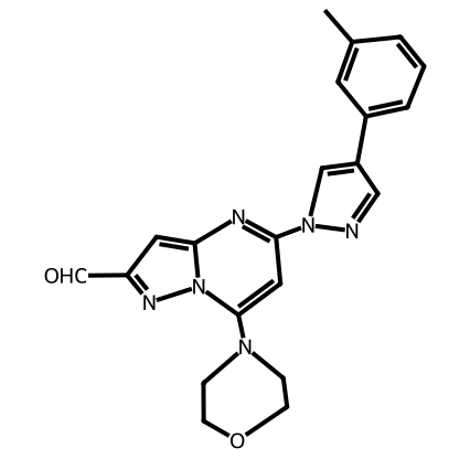 Cc1cccc(-c2cnn(-c3cc(N4CCOCC4)n4nc(C=O)cc4n3)c2)c1